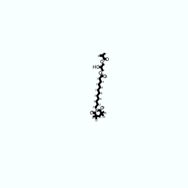 C=C(C)C(=O)OCC(O)COC(=O)CCCCCCCCCCCN1C(=O)C(C)(C)CC(C)(C)C1=O